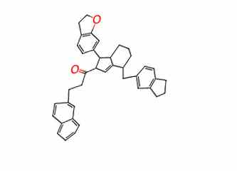 O=C(CCc1ccc2ccccc2c1)C1C=C2C(Cc3ccc4c(c3)CCC4)CCCC2C1c1ccc2c(c1)OCC2